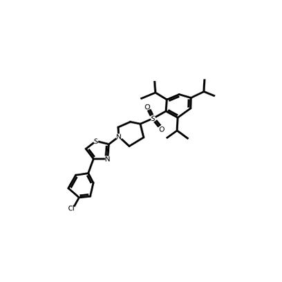 CC(C)c1cc(C(C)C)c(S(=O)(=O)C2CCN(c3nc(-c4ccc(Cl)cc4)cs3)CC2)c(C(C)C)c1